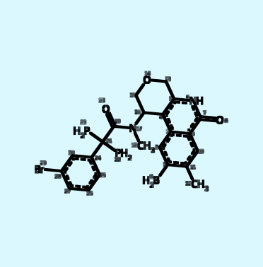 Bc1cc2c3c([nH]c(=O)c2cc1C)COCC3N(C)C(=O)C(P)(P)c1cccc(Br)c1